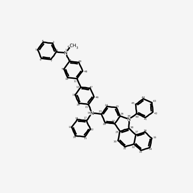 CN(c1ccccc1)c1ccc(-c2ccc(N(c3ccccc3)c3ccc4c(c3)c3ccc5ccccc5c3n4-c3ccccc3)cc2)cc1